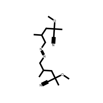 COC(C)(C#N)CC(C)CN=NCC(C)CC(C)(C#N)OC